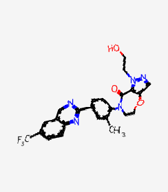 Cc1cc(-c2ncc3cc(C(F)(F)F)ccc3n2)ccc1N1CCOc2cnn(CCO)c2C1=O